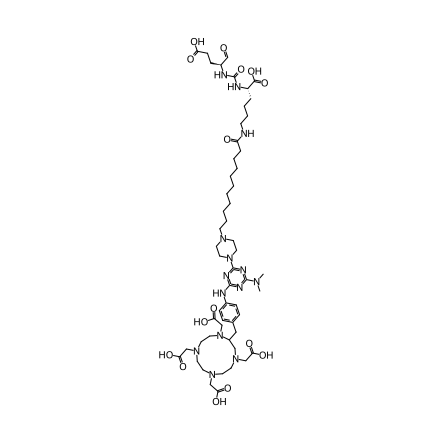 CN(C)c1nc(Nc2ccc(CC3CN(CC(=O)O)CCN(CC(=O)O)CCN(CC(=O)O)CCN3CC(=O)O)cc2)nc(N2CCN(CCCCCCCCCCC(=O)NCCCC[C@H](NC(=O)N[C@H](C=O)CCC(=O)O)C(=O)O)CC2)n1